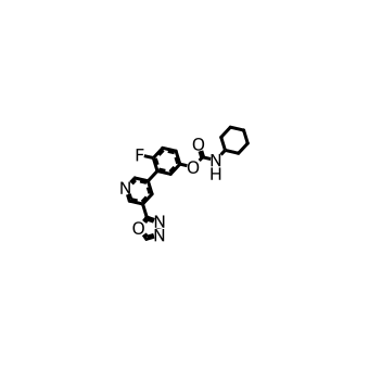 O=C(NC1CCCCC1)Oc1ccc(F)c(-c2cncc(-c3nnco3)c2)c1